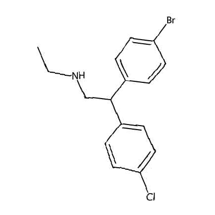 CCNCC(c1ccc(Cl)cc1)c1ccc(Br)cc1